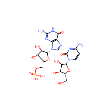 Nc1ccn([C@@H]2O[C@H](CO)[C@@H](O)[C@H]2O)c(=O)n1.Nc1nc2c(ncn2[C@@H]2O[C@H](COP(=O)(O)O)[C@@H](O)[C@H]2O)c(=O)[nH]1